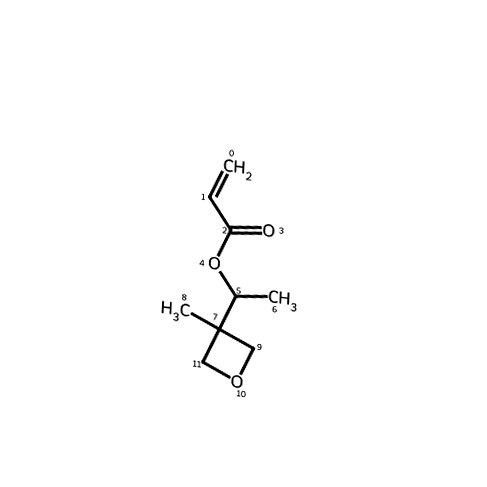 C=CC(=O)OC(C)C1(C)COC1